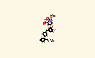 CNCc1ccccc1[C@H]1CC[C@H](Cc2ccc(F)c(O[C@H]3C[C@@H](C(=O)OC)N(C(=O)OC(C)(C)C)C3)c2)CC1